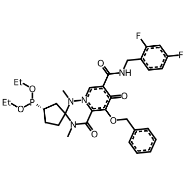 CCOP(OCC)[C@H]1CCC2(C1)N(C)C(=O)c1c(OCc3ccccc3)c(=O)c(C(=O)NCc3ccc(F)cc3F)cn1N2C